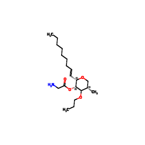 CCCCCCCC=C[C@@H]1OC[C@H](C)C(OCCC)[C@@H]1OC(=O)CN